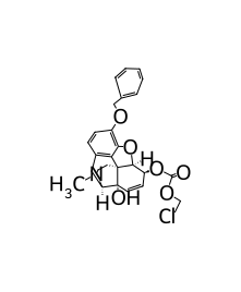 CN1CC[C@]23c4c5ccc(OCc6ccccc6)c4O[C@H]2[C@@H](OC(=O)OCCl)C=C[C@@]3(O)[C@H]1C5